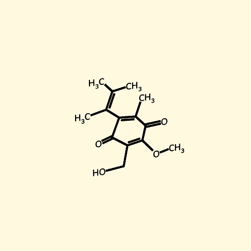 COC1=C(CO)C(=O)C(C(C)=C(C)C)=C(C)C1=O